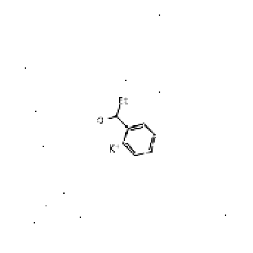 CCC([O-])c1ccccc1.[K+]